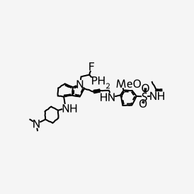 C=C(C)NS(=O)(=O)c1ccc(NCC#Cc2cc3c(n2CC(F)P)=CCCC=3NC2CCC(N(C)C)CC2)c(OC)c1